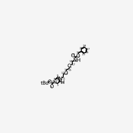 CC(C)(C)OC(=O)N1C[C@@H]2CC1CN2CCOCCOCCNC(=O)OCc1ccccc1